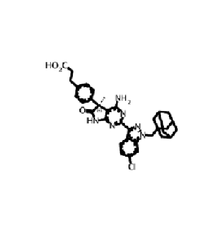 C[C@@]1(c2ccc(CCC(=O)O)cc2)C(=O)Nc2nc(-c3nn(CC45CC6CC(CC(C6)C4)C5)c4cc(Cl)ccc34)nc(N)c21